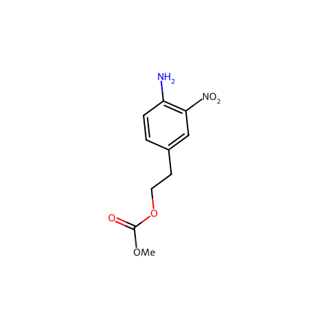 COC(=O)OCCc1ccc(N)c([N+](=O)[O-])c1